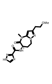 COCCc1cc2n(n1)CC[C@@H](NC(=O)c1nc[nH]n1)C(=O)N2C